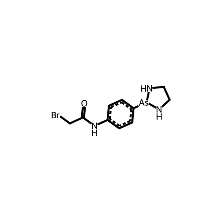 O=C(CBr)Nc1ccc([As]2NCCN2)cc1